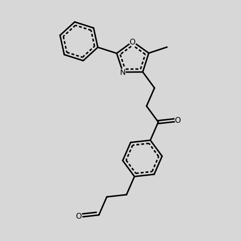 Cc1oc(-c2ccccc2)nc1CCC(=O)c1ccc(CCC=O)cc1